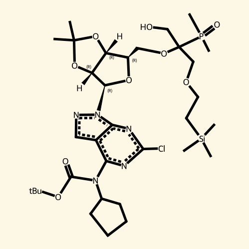 CC(C)(C)OC(=O)N(c1nc(Cl)nc2c1cnn2[C@@H]1O[C@H](COC(CO)(COCC[Si](C)(C)C)P(C)(C)=O)[C@H]2OC(C)(C)O[C@H]21)C1CCCC1